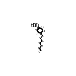 [CH]=CCCCCCc1ccc(C(C)(C)C)cc1